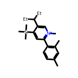 CCC(CC)c1c[n+](C)c(-c2ccc(C)cc2C)cc1[Si](C)(C)C